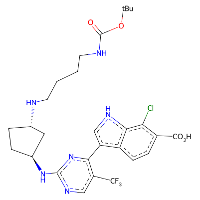 CC(C)(C)OC(=O)NCCCCN[C@H]1CC[C@H](Nc2ncc(C(F)(F)F)c(-c3c[nH]c4c(Cl)c(C(=O)O)ccc34)n2)C1